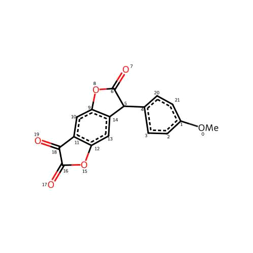 COc1ccc(C2C(=O)Oc3cc4c(cc32)OC(=O)C4=O)cc1